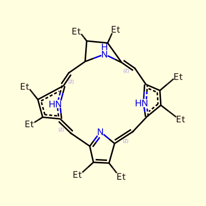 CCC1=C(CC)/C2=C/c3[nH]c(c(CC)c3CC)/C=C3\NC(/C=c4\[nH]/c(c(CC)c4CC)=C\C1=N2)C(CC)C3CC